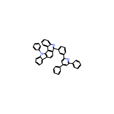 c1ccc(-c2cc(-c3ccccc3)nc(-c3cccc(-c4nc5ccccc5c5c4ccc4c6ccccc6n(-c6ccccc6)c45)c3)c2)cc1